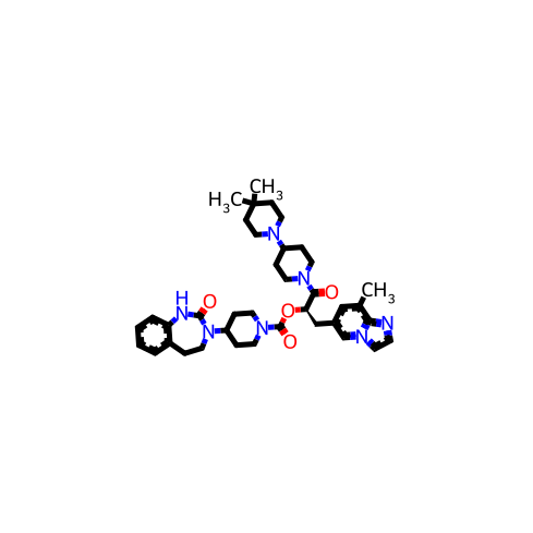 Cc1cc(C[C@@H](OC(=O)N2CCC(N3CCc4ccccc4NC3=O)CC2)C(=O)N2CCC(N3CCC(C)(C)CC3)CC2)cn2ccnc12